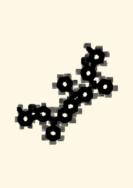 Cc1cccc2c1oc1ccc(N(c3ccccc3)c3ccc4cc5c6ccc(N(c7ccccc7)c7ccc8oc9c(C)cccc9c8c7)cc6n(-c6ccccc6)c5cc4c3)cc12